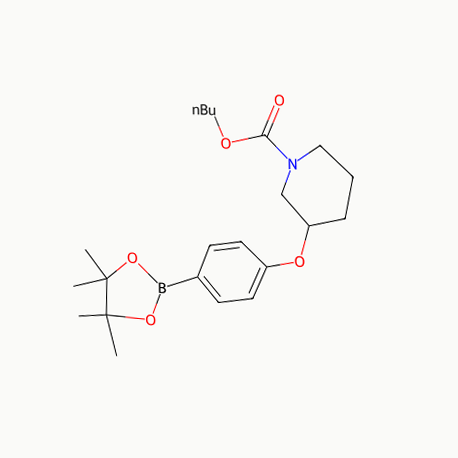 CCCCOC(=O)N1CCCC(Oc2ccc(B3OC(C)(C)C(C)(C)O3)cc2)C1